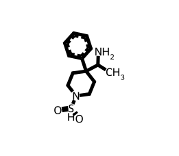 CC(N)C1(c2ccccc2)CCN([SH](=O)=O)CC1